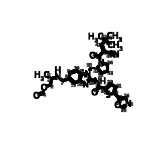 C[C@@H](COC=O)NCc1ccc2c(c1)nc(NC(=O)c1ccc(-c3cnco3)s1)n2C[C@H]1CCCN1C(=O)C(C#N)=CC(C)(C)C